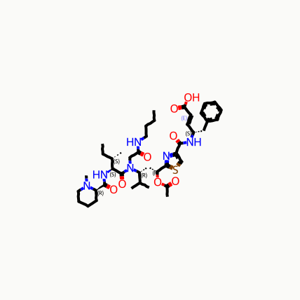 CCCCNC(=O)CN(C(=O)[C@@H](NC(=O)[C@H]1CCCCN1C)[C@@H](C)CC)[C@H](C[C@@H](OC(C)=O)c1nc(C(=O)N[C@H](/C=C/C(=O)O)Cc2ccccc2)cs1)C(C)C